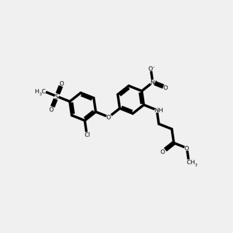 COC(=O)CCNc1cc(Oc2ccc(S(C)(=O)=O)cc2Cl)ccc1[N+](=O)[O-]